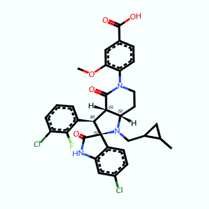 COc1cc(C(=O)O)ccc1N1CC[C@H]2[C@@H](C1=O)[C@H](c1cccc(Cl)c1F)[C@]1(C(=O)Nc3cc(Cl)ccc31)N2CC1CC1C